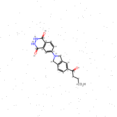 O=C(O)CCC(=O)c1ccc2c(c1)CN(c1ccc3c(=O)[nH][nH]c(=O)c3c1)C2